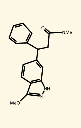 CNC(=O)CC(c1ccccc1)c1ccc2c(OC)n[nH]c2c1